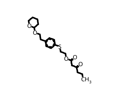 CCCC(=O)CC(=O)OCCSc1ccc(CCOC2CCCCO2)cc1